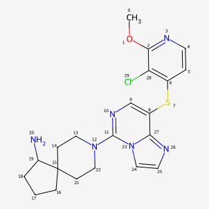 COc1nccc(Sc2cnc(N3CCC4(CCCC4N)CC3)n3ccnc23)c1Cl